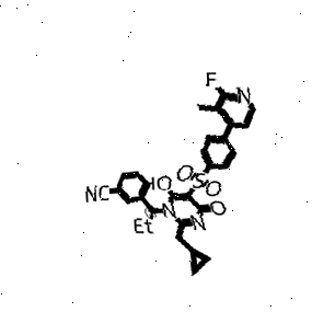 CC[C@@H](c1cccc(C#N)c1)n1c(CC2CC2)nc(=O)c(S(=O)(=O)c2ccc(-c3ccnc(F)c3C)cc2)c1O